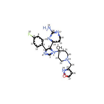 CC1(n2cnc(-c3ccc(F)cc3)c2-c2ccnc(N)n2)CCN(Cc2ccon2)CC1